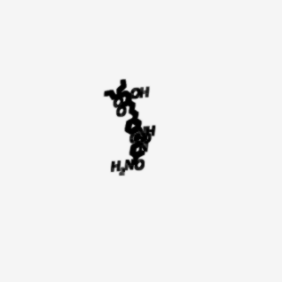 CCCC1(CCC)CC(O)=C(CCCc2cccc(NS(=O)(=O)c3ccc(C(N)=O)cn3)c2)C(=O)O1